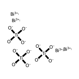 [Bi+3].[Bi+3].[Bi+3].[Bi+3].[O-][Ti]([O-])([O-])[O-].[O-][Ti]([O-])([O-])[O-].[O-][Ti]([O-])([O-])[O-]